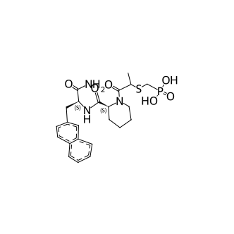 CC(SCP(=O)(O)O)C(=O)N1CCCC[C@H]1C(=O)N[C@@H](Cc1ccc2ccccc2c1)C(N)=O